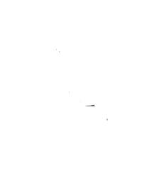 O=C(OC1CC2CCC(C1)N2)[C@@H](CO)c1ccccc1